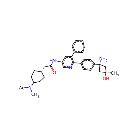 CC(=O)N(C)[C@H]1CC[C@H](CC(=O)Nc2cnc(-c3ccc([C@]4(N)C[C@](C)(O)C4)cc3)c(-c3ccccc3)c2)CC1